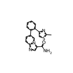 Cc1nc(-c2ccccc2-c2ccc3ncc(C(N)=O)n3c2)cs1